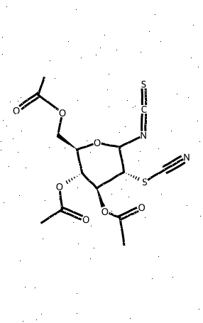 CC(=O)OC[C@H]1OC(N=C=S)[C@H](SC#N)[C@@H](OC(C)=O)[C@@H]1OC(C)=O